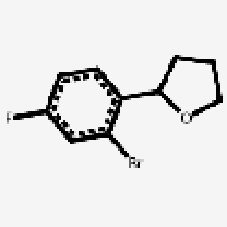 Fc1ccc(C2CCCO2)c(Br)c1